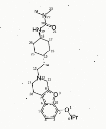 CC(C)Oc1cccc2c3c(oc12)CN(CC[C@H]1CC[C@H](NC(=O)N(C)C)CC1)CC3